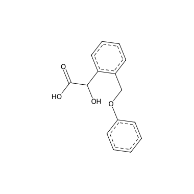 O=C(O)C(O)c1ccccc1COc1ccccc1